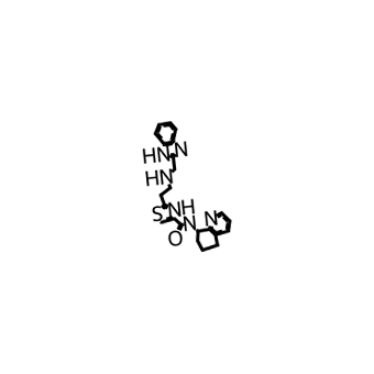 O=C(NC1CCCc2cccnc21)c1csc(CCNCc2nc3ccccc3[nH]2)n1